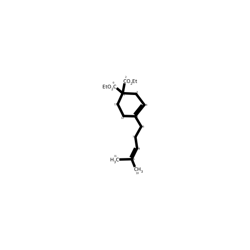 CCOC(=O)C1(C(=O)OCC)CC=C(CCC=C(C)C)CC1